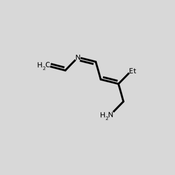 C=C/N=C\C=C(/CC)CN